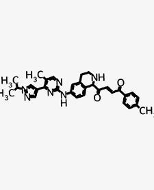 Cc1ccc(C(=O)C=CC(=O)C2NCCc3cc(Nc4ncc(C)c(-c5cnn(C(C)C)c5)n4)ccc32)cc1